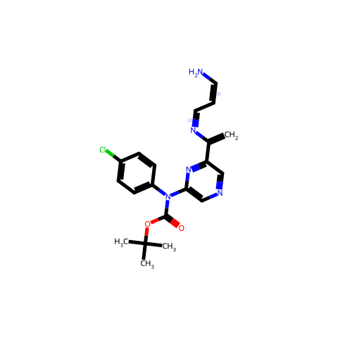 C=C(/N=C\C=C/N)c1cncc(N(C(=O)OC(C)(C)C)c2ccc(Cl)cc2)n1